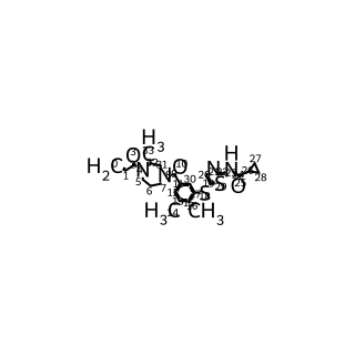 C=CC(=O)N1CCCN(C(=O)c2cc(C)c(C)c(Sc3cnc(NC(=O)C4CC4)s3)c2)CC1C